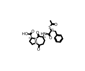 CC(=O)S[C@@H](Cc1ccccc1)C(=O)N[C@H]1CCC(=O)N2CC[C@@H](C(=O)O)N2C1=O